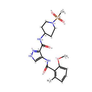 COc1cccc(C)c1C(=O)Nc1c[nH]nc1C(=O)NC1CCN(S(C)(=O)=O)CC1